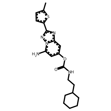 Cc1ccc(-c2nc3cc(OC(=O)NCCC4CCCCC4)cc(N)n3n2)s1